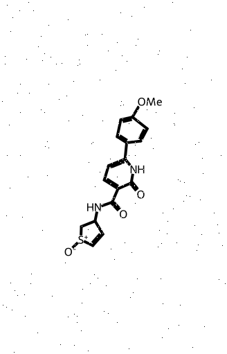 COc1ccc(-c2ccc(C(=O)NC3C=C[S+]([O-])C3)c(=O)[nH]2)cc1